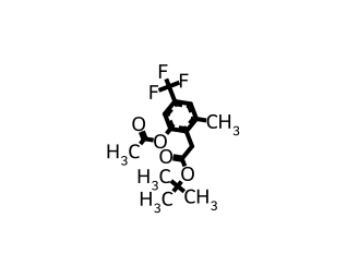 CC(=O)Oc1cc(C(F)(F)F)cc(C)c1CC(=O)OC(C)(C)C